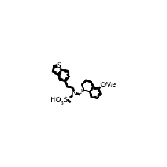 COc1cccc2c1CCC[C@H]2CN(C)CCc1ccc2sccc2c1.CS(=O)(=O)O